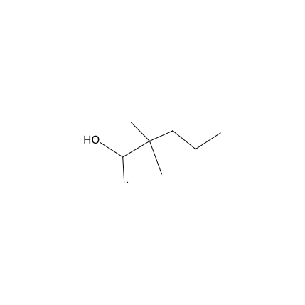 [CH2]C(O)C(C)(C)CCC